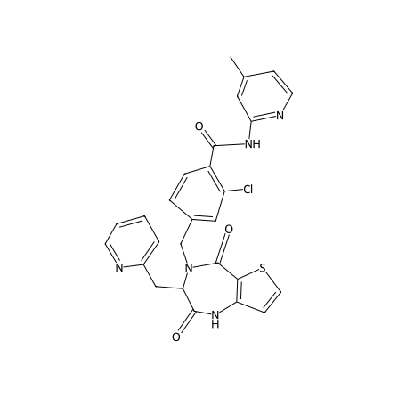 Cc1ccnc(NC(=O)c2ccc(CN3C(=O)c4sccc4NC(=O)C3Cc3ccccn3)cc2Cl)c1